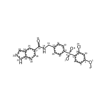 COc1ccc(S(=O)(=O)c2ccc(CNC(=O)c3cnc4[nH]ncc4c3)cc2)c(Cl)c1